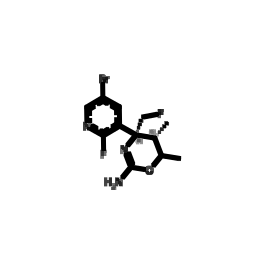 CC1OC(N)=N[C@@](CF)(c2cc(Br)cnc2F)[C@@H]1C